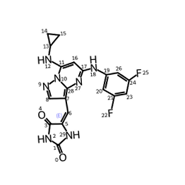 O=C1NC(=O)/C(=C\c2cnn3c(NC4CC4)cc(Nc4cc(F)cc(F)c4)nc23)N1